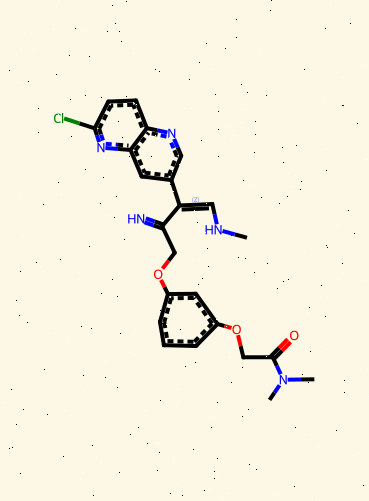 CN/C=C(\C(=N)COc1cccc(OCC(=O)N(C)C)c1)c1cnc2ccc(Cl)nc2c1